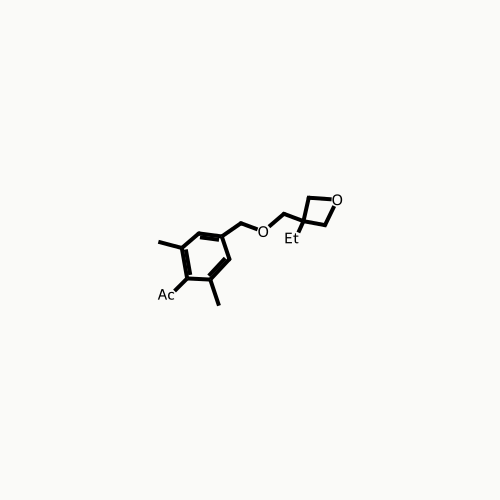 CCC1(COCc2cc(C)c(C(C)=O)c(C)c2)COC1